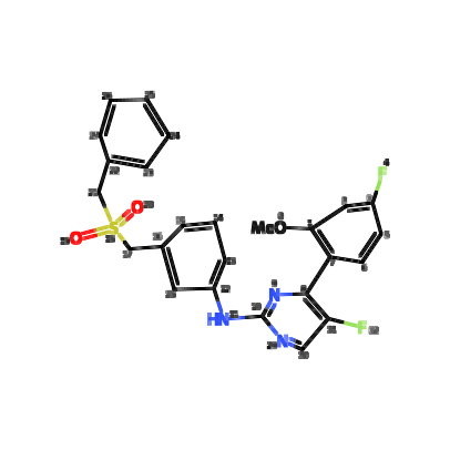 COc1cc(F)ccc1-c1nc(Nc2cccc(CS(=O)(=O)Cc3ccccc3)c2)ncc1F